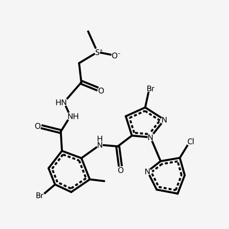 Cc1cc(Br)cc(C(=O)NNC(=O)C[S+](C)[O-])c1NC(=O)c1cc(Br)nn1-c1ncccc1Cl